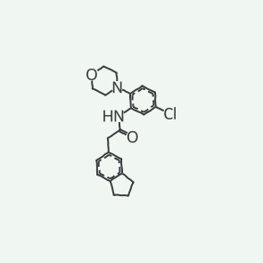 O=C(Cc1ccc2c(c1)CCC2)Nc1cc(Cl)ccc1N1CCOCC1